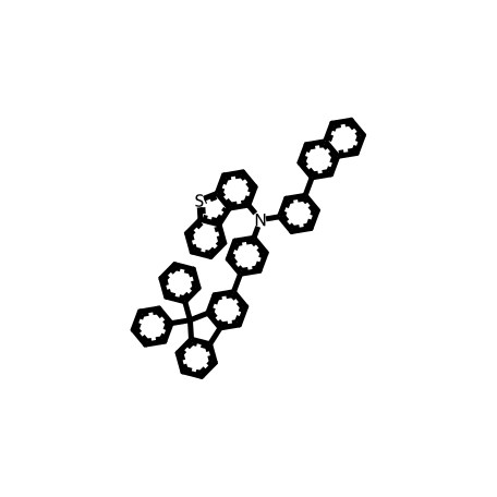 c1ccc(C2(c3ccccc3)c3ccccc3-c3ccc(-c4ccc(N(c5cccc(-c6ccc7ccccc7c6)c5)c5cccc6sc7ccccc7c56)cc4)cc32)cc1